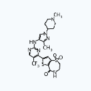 Cc1nn(C2CCN(C)CC2)cc1Nc1ncc(C(F)(F)F)c(-c2cc3c(s2)C(=O)NCCS3(=O)=O)n1